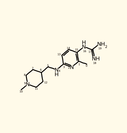 Cc1nc(NCC2CCN(C)CC2)ccc1NC(=N)N